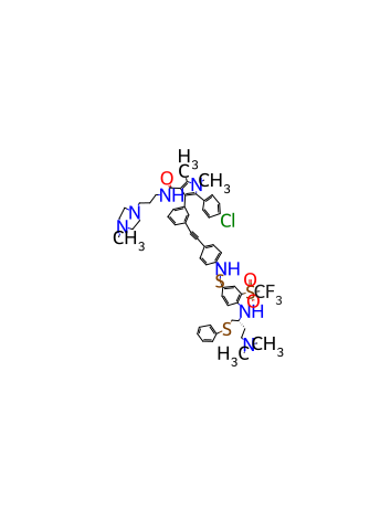 Cc1c(C(=O)NCCCN2CCN(C)CC2)c(-c2cccc(C#Cc3ccc(NSc4ccc(N[C@H](CCN(C)C)CSc5ccccc5)c(S(=O)(=O)C(F)(F)F)c4)cc3)c2)c(-c2ccc(Cl)cc2)n1C